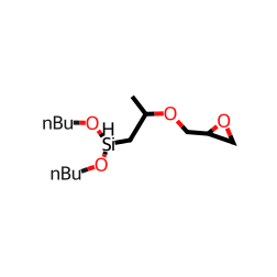 CCCCO[SiH](CC(C)OCC1CO1)OCCCC